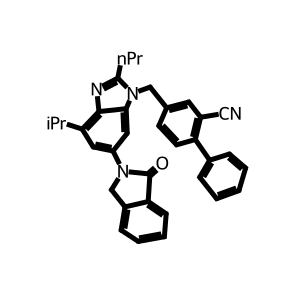 CCCc1nc2c(C(C)C)cc(N3Cc4ccccc4C3=O)cc2n1Cc1ccc(-c2ccccc2)c(C#N)c1